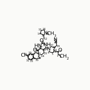 C=CC(=O)N1CCN(C2NC(OCC3CCCN3C)NC3C(=O)[C@@]4(CCC32)Cc2cc(Cl)ccc2CS4)CC1CC#N